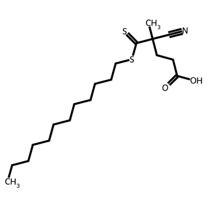 CCCCCCCCCCCCSC(=S)C(C)(C#N)CCC(=O)O